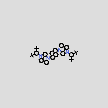 CC(C)(C)c1cc(-n2c3ccccc3c3c(N(c4ccccc4)c4ccc5ccc6c(N(c7ccccc7)c7cccc8c7c7ccccc7n8-c7cc(C(C)(C)C)cc(C(C)(C)C)c7)ccc7ccc4c5c76)cccc32)cc(C(C)(C)C)c1